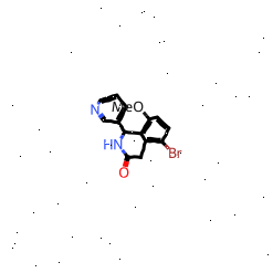 COc1ccc(Br)c2c1C(c1cccnc1)NC(=O)C2